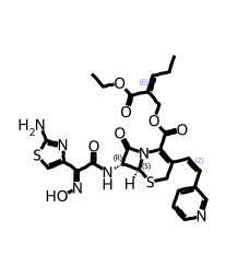 CC/C=C(\COC(=O)C1=C(/C=C\c2cccnc2)CS[C@H]2[C@H](NC(=O)C(=NO)c3csc(N)n3)C(=O)N12)C(=O)OCC